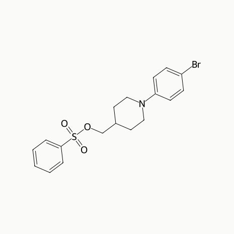 O=S(=O)(OCC1CCN(c2ccc(Br)cc2)CC1)c1ccccc1